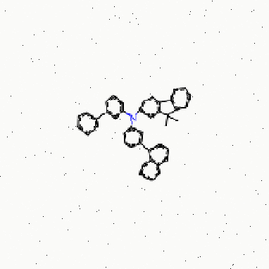 CC1(C)c2ccccc2-c2ccc(N(c3cccc(-c4ccccc4)c3)c3cccc(-c4cccc5ccccc45)c3)cc21